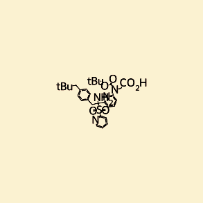 CC(C)(C)Cc1ccc(CC(N)(c2cccc(N(CC(=O)O)C(=O)OC(C)(C)C)n2)S(=O)(=O)c2ccccn2)cc1